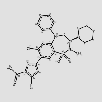 CN1[C@H](C2CCCCC2)CN(c2ccccc2)c2cc(Cl)c(-c3cc(F)c(C(=O)O)s3)cc2S1(=O)=O